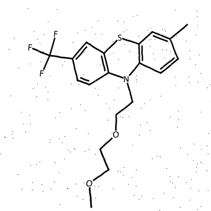 COCCOCCN1c2ccc(C)cc2Sc2cc(C(F)(F)F)ccc21